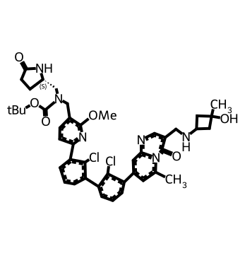 COc1nc(-c2cccc(-c3cccc(-c4cc(C)n5c(=O)c(CNC6CC(C)(O)C6)cnc5c4)c3Cl)c2Cl)ccc1CN(C[C@@H]1CCC(=O)N1)C(=O)OC(C)(C)C